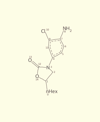 CCCCCCC1CN(c2ccc(N)c(Cl)c2)C(=O)O1